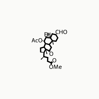 CC[C@H]1[C@@H](OC(C)=O)C2C3CC[C@H]([C@H](C)CCC(=O)OC)[C@@]3(C)C(=O)CC2[C@@]2(C)CC[C@@H](C=O)C[C@@H]12